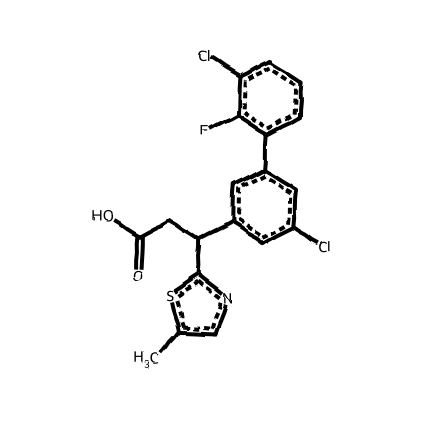 Cc1cnc(C(CC(=O)O)c2cc(Cl)cc(-c3cccc(Cl)c3F)c2)s1